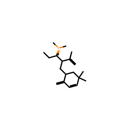 C=C1C=CC(C)(C)CC1CC(C(=C)C)C(CC)=[PH](C)C